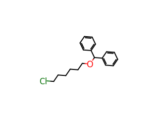 ClCCCCCCOC(c1ccccc1)c1ccccc1